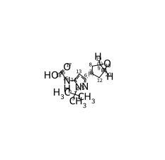 CC(C)(C)n1nc([C@@H]2C[C@@H]3O[C@@H]3C2)cc1NC(=O)O